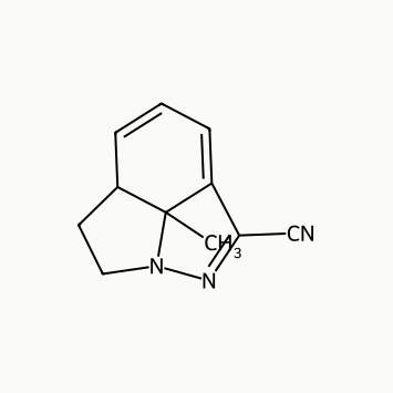 CC12C3=CC=CC1CCN2N=C3C#N